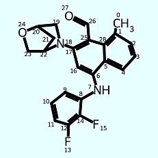 Cc1cccc2c(Nc3cccc(F)c3F)cc(N3CC4CC3CO4)c(C=O)c12